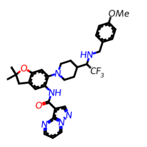 COc1ccc(CNC(C2CCN(c3cc4c(cc3NC(=O)c3cnn5cccnc35)CC(C)(C)O4)CC2)C(F)(F)F)cc1